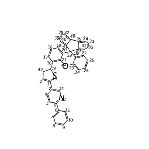 C1=C(c2ccc(-c3ccccc3)nc2)SC(c2cccc3c2Oc2ccccc2C32c3ccccc3-c3ccccc32)C1